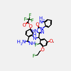 COc1cc(OCCF)c(F)c(C(Nc2cc(OC(=O)C(F)(F)F)ccc2C(=N)N)c2nn(-c3ccccc3N)c(=O)[nH]2)c1